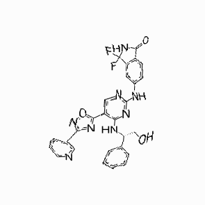 O=C1NC(F)(F)c2cc(Nc3ncc(-c4nc(-c5cccnc5)no4)c(N[C@H](CO)c4ccccc4)n3)ccc21